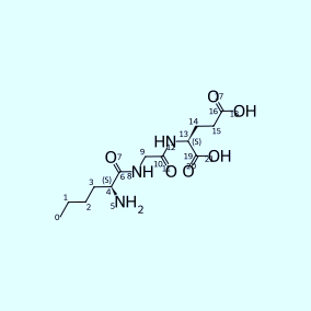 CCCC[C@H](N)C(=O)NCC(=O)N[C@@H](CCC(=O)O)C(=O)O